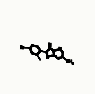 Cc1cc(Br)ccc1-c1nc2cc(N)cnc2[nH]1